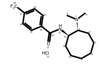 CN(C)[C@@H]1CCCCCC[C@H]1NC(=O)c1ccc(C(F)(F)F)cc1.Cl